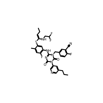 CC/C=C(\NCC(F)F)Sc1cc(Nc2nc(=O)n(-c3cncc(CCC)c3)c(=O)n2Cc2ccc(F)c(C#N)c2)c(F)cc1C